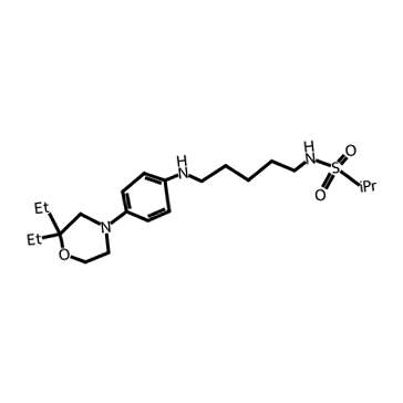 CCC1(CC)CN(c2ccc(NCCCCCNS(=O)(=O)C(C)C)cc2)CCO1